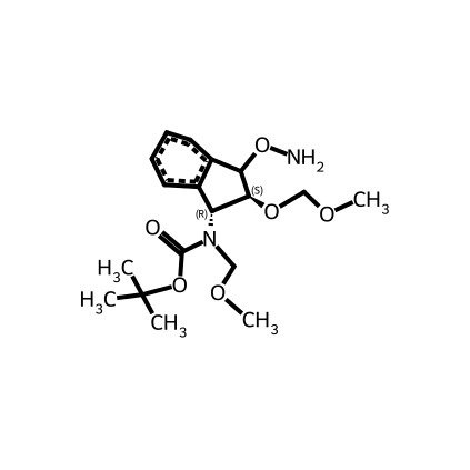 COCO[C@@H]1C(ON)c2ccccc2[C@H]1N(COC)C(=O)OC(C)(C)C